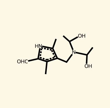 Cc1[nH]c(C=O)c(C)c1CN(C(C)O)C(C)O